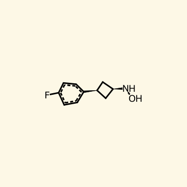 ON[C@H]1C[C@@H](c2ccc(F)cc2)C1